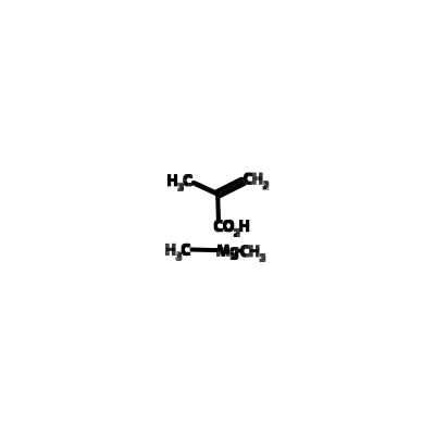 C=C(C)C(=O)O.[CH3][Mg][CH3]